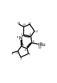 CC1CCc2c1nc1c(c2C(C)(C)C)CCC1C